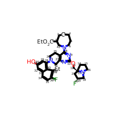 CCOC(=O)C1CCCCCN(c2nc(OC[C@@]34CCCN3C[C@H](F)C4)nc3c2CCN(c2cc(O)cc4ccc(F)c(CC)c24)C3)C1